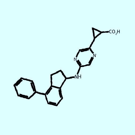 O=C(O)C1CC1c1cnc(NC2CCc3c(-c4ccccc4)cccc32)cn1